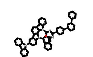 c1ccc(-c2cccc(-c3ccc(-c4nc(-c5ccccc5)nc(-n5c6ccccc6c6ccc7c8cc(-n9c%10ccccc%10c%10ccccc%109)ccc8n(-c8ccccc8)c7c65)n4)cc3)c2)cc1